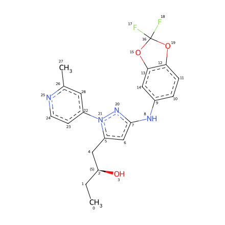 CC[C@H](O)Cc1cc(Nc2ccc3c(c2)OC(F)(F)O3)nn1-c1ccnc(C)c1